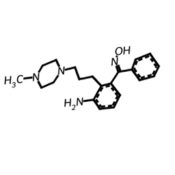 CN1CCN(CCCc2c(N)cccc2C(=NO)c2ccccc2)CC1